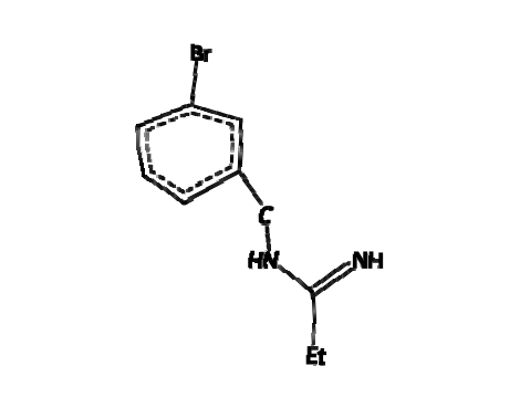 CCC(=N)NCc1cccc(Br)c1